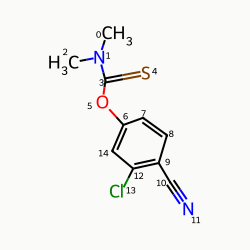 CN(C)C(=S)Oc1ccc(C#N)c(Cl)c1